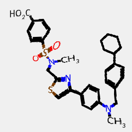 CN(Cc1ccc(C2CCCCC2)cc1)c1ccc(-c2csc(CN(C)S(=O)(=O)c3ccc(C(=O)O)cc3)n2)cc1